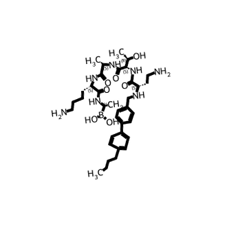 CCCCc1ccc(-c2ccc(CN[C@@H](CCN)C(=O)N[C@H](C(=O)N[C@@H](C)C(=O)N[C@@H](CCCCN)C(=O)N[C@@H](C)B(O)O)[C@@H](C)O)cc2)cc1